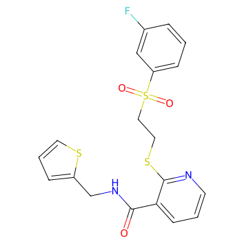 O=C(NCc1cccs1)c1cccnc1SCCS(=O)(=O)c1cccc(F)c1